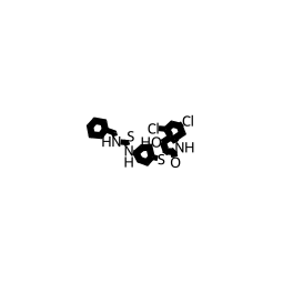 O=c1[nH]c2cc(Cl)cc(Cl)c2c(O)c1Sc1ccc(NC(=S)NCc2ccccc2)cc1